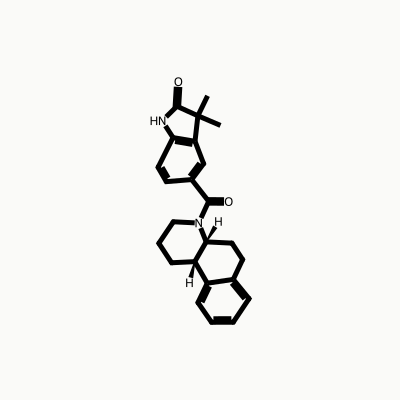 CC1(C)C(=O)Nc2ccc(C(=O)N3CCC[C@H]4c5ccccc5CC[C@H]43)cc21